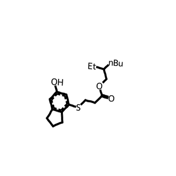 CCCCC(CC)COC(=O)CCSc1cc(O)cc2c1CCC2